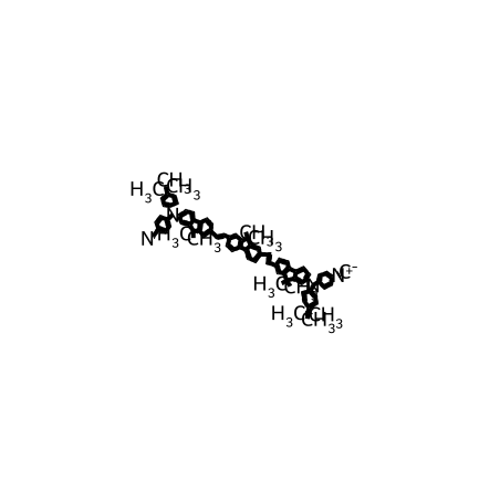 [C-]#[N+]c1ccc(N(c2ccc(C(C)(C)C)cc2)c2ccc3c(c2)C(C)(C)c2cc(/C=C/c4ccc5c(c4)C(C)(C)c4cc(/C=C/c6ccc7c(c6)C(C)(C)c6cc(N(c8ccc(C#N)cc8)c8ccc(C(C)(C)C)cc8)ccc6-7)ccc4-5)ccc2-3)cc1